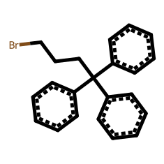 BrCCCC(c1ccccc1)(c1ccccc1)c1ccccc1